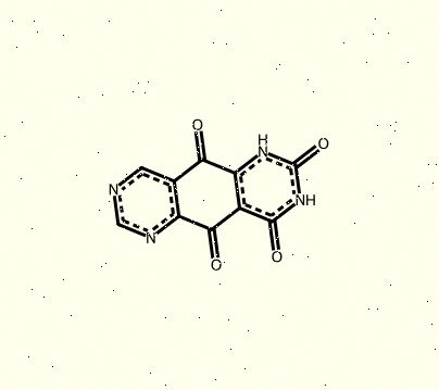 O=C1c2cncnc2C(=O)c2c1[nH]c(=O)[nH]c2=O